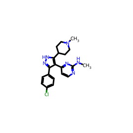 CNc1nccc(-c2c(-c3ccc(Cl)cc3)n[nH]c2C2CCN(C)CC2)n1